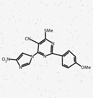 [C-]#[N+]c1c(SC)nc(-c2ccc(OC)cc2)nc1-n1cnc([N+](=O)[O-])c1